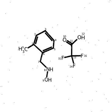 Cc1ccccc1CNO.O=C(O)C(F)(F)F